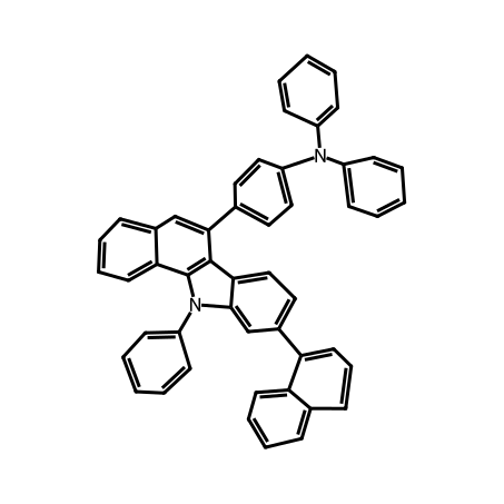 c1ccc(N(c2ccccc2)c2ccc(-c3cc4ccccc4c4c3c3ccc(-c5cccc6ccccc56)cc3n4-c3ccccc3)cc2)cc1